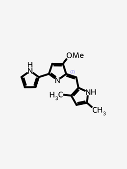 COC1=CC(c2ccc[nH]2)=N/C1=C\c1[nH]c(C)cc1C